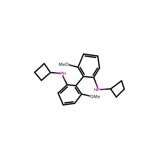 COc1cccc(PC2CCC2)c1-c1c(OC)cccc1PC1CCC1